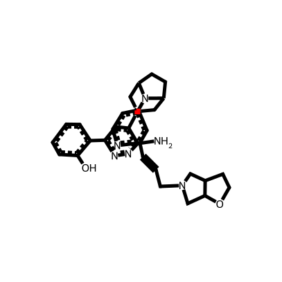 Nc1nnc(-c2ccccc2O)cc1N1CC2CCC(C1)N2c1ccnc(C#CCN2CC3CCOC3C2)c1